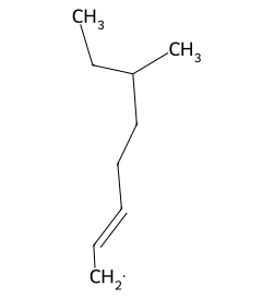 [CH2]C=CCCC(C)CC